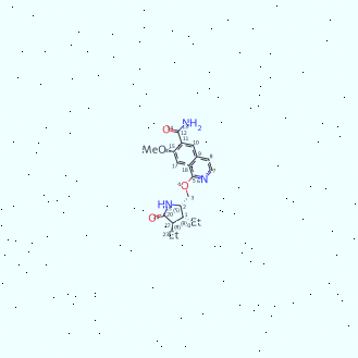 CC[C@H]1[C@@H](COc2nccc3cc(C(N)=O)c(OC)cc23)NC(=O)[C@@H]1CC